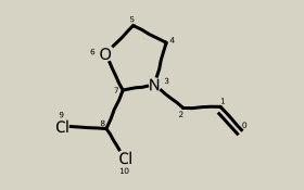 C=CCN1CCOC1C(Cl)Cl